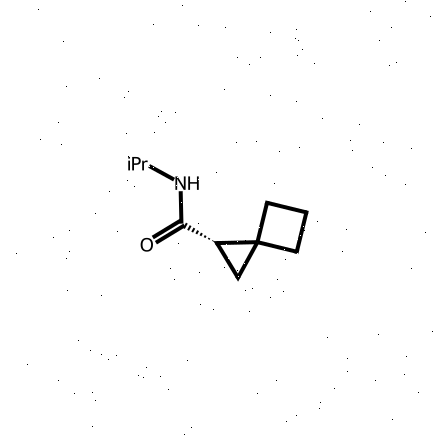 CC(C)NC(=O)[C@H]1CC12CCC2